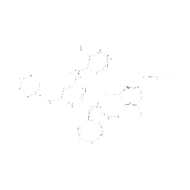 CCCCCOc1cc(F)c(Cn2nc(C3=NC(Nc4ccncc4Cl)=CC(CN4CCOCC4)N3)c3ccccc32)c(F)c1